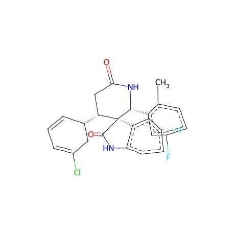 Cc1ccc(F)cc1[C@H]1NC(=O)C[C@@H](C2C=CC=C(Cl)C2)[C@]12C(=O)Nc1ccc(F)cc12